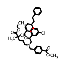 CCOC(=O)C(C)(C)CCCN(Cc1ccc(C(=O)OC)cc1)CC(OCC1=CCC(CCc2ccccc2)C=C1)c1cccc(Cl)c1